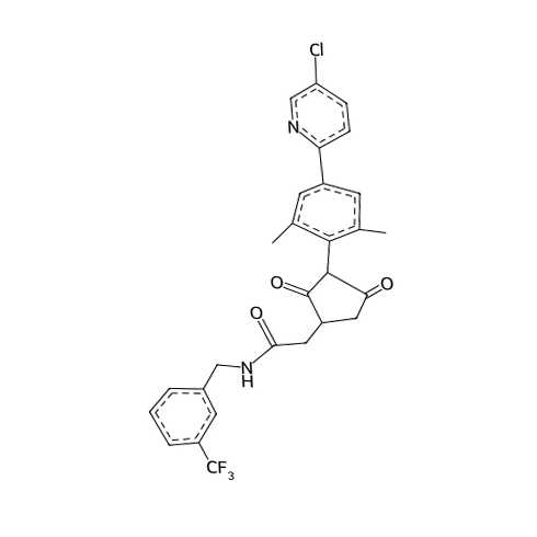 Cc1cc(-c2ccc(Cl)cn2)cc(C)c1C1C(=O)CC(CC(=O)NCc2cccc(C(F)(F)F)c2)C1=O